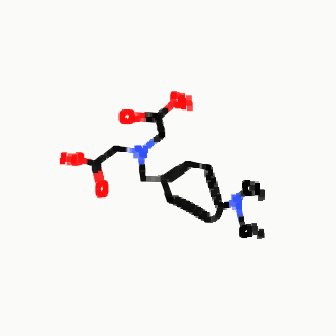 CN(C)c1ccc(CN(CC(=O)O)CC(=O)O)cc1